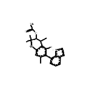 CC1c2c(cc(F)c(-c3cccc4cc[nH]c34)c2F)NC(C)(C)C1OC(=O)C(C)(C)C